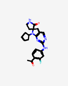 CC(=O)c1ccc(Nc2ncc3c(n2)N(C2CCCC2)C2(CCNC2=O)C3)cc1F